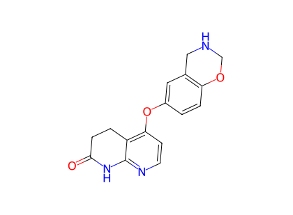 O=C1CCc2c(Oc3ccc4c(c3)CNCO4)ccnc2N1